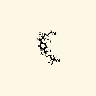 CC(C)(O)CCOC(C)(C)c1ccc(C(=O)C(C)(C)CCCO)cc1